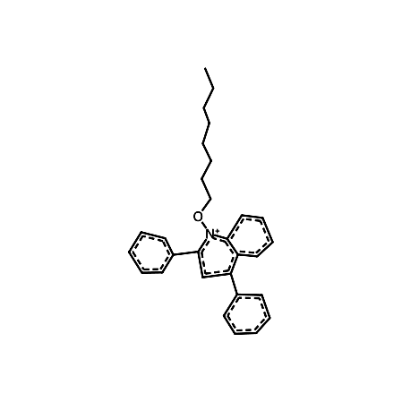 CCCCCCCCO[n+]1c(-c2ccccc2)cc(-c2ccccc2)c2ccccc21